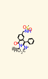 CC(C)Cn1c(N(C)C(=O)O)c(-c2ccccc2)c2cc(CNS(C)(=O)=O)ccc2c1=O